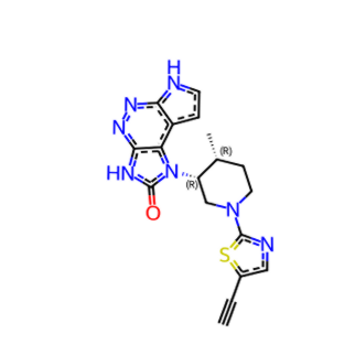 C#Cc1cnc(N2CC[C@@H](C)[C@@H](n3c(=O)[nH]c4nnc5[nH]ccc5c43)C2)s1